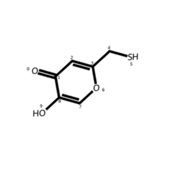 O=c1cc(CS)occ1O